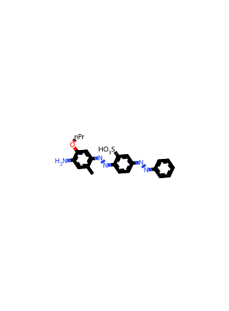 CCCOc1cc(N=Nc2ccc(N=Nc3ccccc3)cc2S(=O)(=O)O)c(C)cc1N